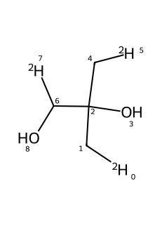 [2H]CC(O)(C[2H])C([2H])O